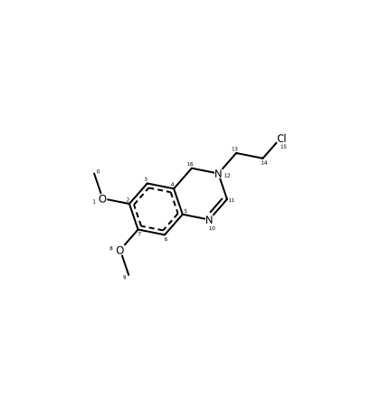 COc1cc2c(cc1OC)N=CN(CCCl)C2